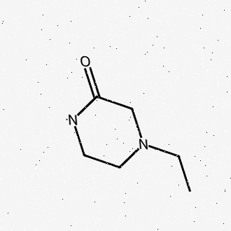 CCN1CC[N]C(=O)C1